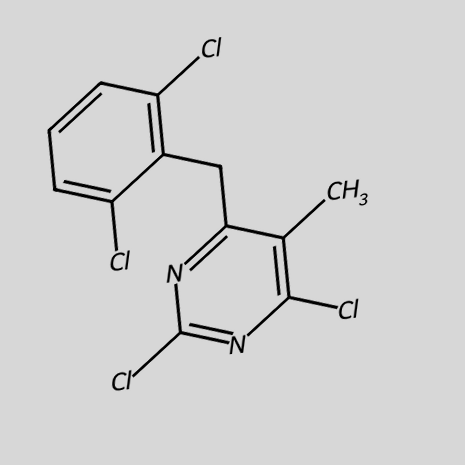 Cc1c(Cl)nc(Cl)nc1Cc1c(Cl)cccc1Cl